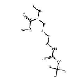 CN[C@@H](CCCCNC(=O)OC(C)(C)C)C(=O)OC